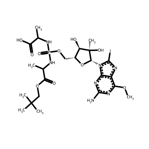 COc1nc(N)nc2c1nc(I)n2[C@@H]1O[C@H](COP(=O)(NC(C)C(=O)O)NC(C)C(=O)OCC(C)(C)C)[C@@H](O)[C@@]1(C)O